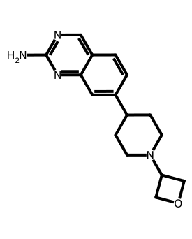 Nc1ncc2ccc(C3CCN(C4COC4)CC3)cc2n1